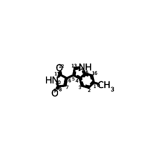 Cc1ccc2c(C3=CC(=O)NC3=O)c[nH]c2c1